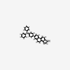 c1ccc(N(c2ccccc2)c2ccccc2)cc1.c1ccc2c(c1)ccc1c2ccc2[nH]cnc21